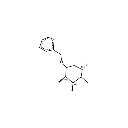 CC1[C@@H](C)[C@@H](C)C(OCc2ccccc2)C[C@@H]1C